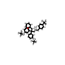 FC(F)(F)Oc1cccc(C(CNCc2ccc(C(F)(F)F)cc2)(Cc2ccccc2)c2cccc(OC(F)(F)F)c2)c1